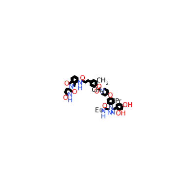 CCNC(=O)c1nnc(-c2cc(C(C)C)c(O)cc2O)n1-c1ccc(OC2CCN(C(=O)Oc3c(C)cc(CCC(=O)Nc4cccc5c4CN(C4CCC(=O)NC4=O)C5=O)cc3C)CC2)cc1